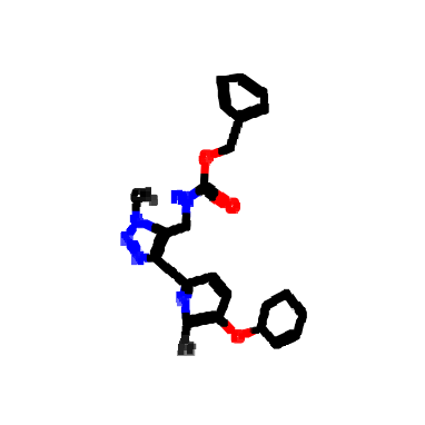 CCc1nc(-c2nnn(C)c2CNC(=O)OCc2ccccc2)ccc1O[C@@H]1C=CCCC1